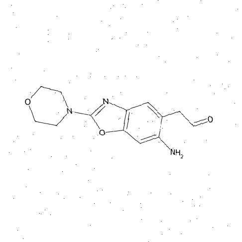 Nc1cc2oc(N3CCOCC3)nc2cc1CC=O